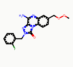 COOCc1ccc2c(c1)nc(N)c1nn(Cc3ccccc3F)c(=O)n12